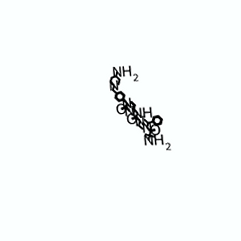 CC(C)(N)C(=O)N1CCN(C(=O)Nc2ccn(-c3ccc(CN4CCC(N)CC4)cc3)c(=O)n2)CC1c1ccccc1